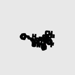 C=CC(=O)N(c1ccc(F)cc1C[C@H]1C2CCC(O2)[C@@H]1c1nc(C(=O)NCCCCC2CCCCC2)co1)S(=O)(=O)CCC